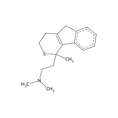 CN(C)CCC1(C)SCCC2=C1c1ccccc1C2